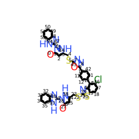 O=c1cc(CSc2nnc(-c3ccc(-c4c(Cl)ccc5sc(SCc6cc(=O)n(-c7nc8ccccc8[nH]7)[nH]6)nc45)cc3)o2)[nH]n1-c1nc2ccccc2[nH]1